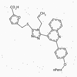 C=CCn1c(SCc2ccc(C(=O)O)o2)nnc1-c1cc(-c2ccc(OCCCCC)cc2)nc2ccccc12